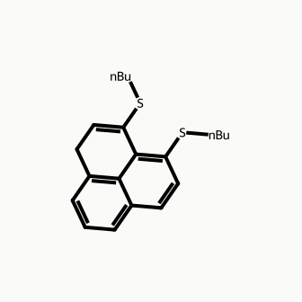 CCCCSC1=CCc2cccc3ccc(SCCCC)c1c23